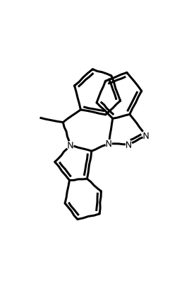 CC(c1ccccc1)n1cc2ccccc2c1-n1nnc2ccccc21